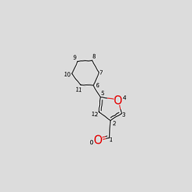 O=Cc1coc(C2CCCCC2)c1